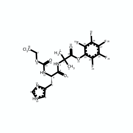 CC(C)(NC(=O)[C@H](Cc1c[nH]cn1)NC(=O)OCC(Cl)(Cl)Cl)C(=O)Oc1c(F)c(F)c(F)c(F)c1F